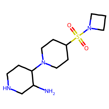 NC1CNCCC1N1CCC(S(=O)(=O)N2CCC2)CC1